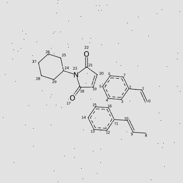 C=Cc1ccccc1.CC=Cc1ccccc1.O=C1C=CC(=O)N1C1CCCCC1